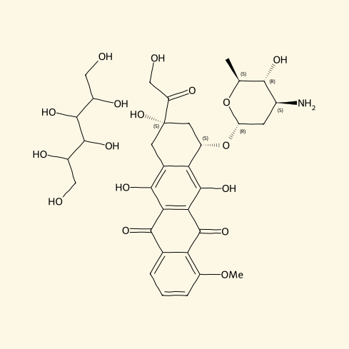 COc1cccc2c1C(=O)c1c(O)c3c(c(O)c1C2=O)C[C@@](O)(C(=O)CO)C[C@@H]3O[C@H]1C[C@H](N)[C@@H](O)[C@H](C)O1.OCC(O)C(O)C(O)C(O)CO